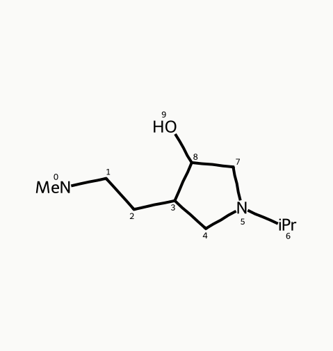 CNCCC1CN(C(C)C)CC1O